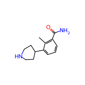 Cc1c(C(N)=O)cccc1C1CCNCC1